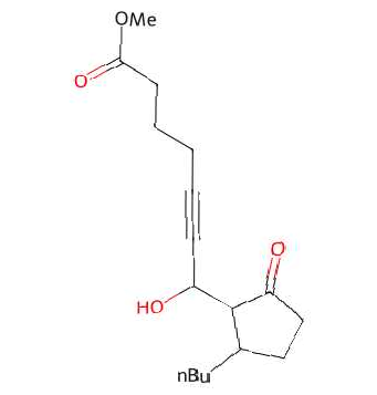 CCCCC1CCC(=O)C1C(O)C#CCCCC(=O)OC